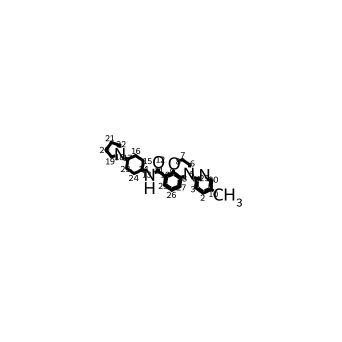 Cc1ccc(N2CCOc3c(C(=O)NC4CCC(N5CCCC5)CC4)cccc32)nc1